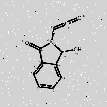 O=C=CN1C(=O)c2ccccc2C1O